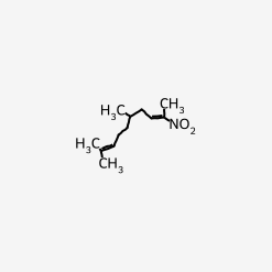 CC(C)=CCCC(C)CC=C(C)[N+](=O)[O-]